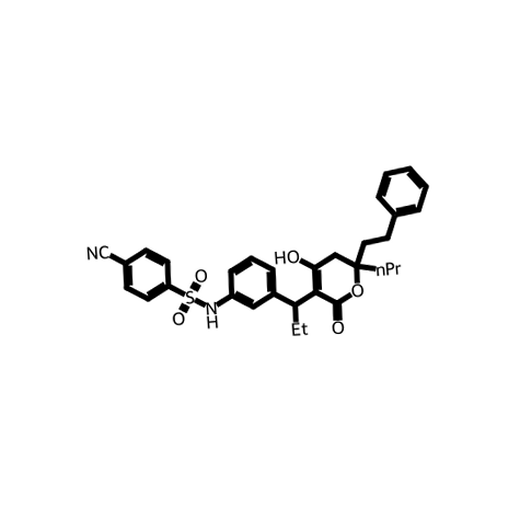 CCCC1(CCc2ccccc2)CC(O)=C(C(CC)c2cccc(NS(=O)(=O)c3ccc(C#N)cc3)c2)C(=O)O1